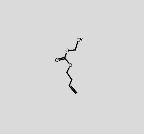 C=CCCOC(=O)OCC(C)C